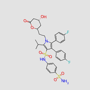 CC(C)c1c(S(=O)(=O)Nc2ccc(S(N)(=O)=O)cc2)c(-c2ccc(F)cc2)c(-c2ccc(F)cc2)n1CCC1C[C@@H](O)CC(=O)O1